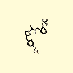 COc1ccc(CC2CCN(C(=O)NCc3ccccc3OC(F)(F)F)C2)cc1